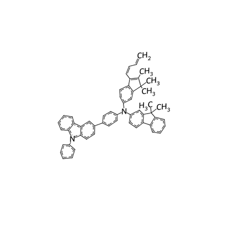 C=C/C=C\C1=C(C)C(C)(C)c2cc(N(c3ccc(-c4ccc5c(c4)c4ccccc4n5-c4ccccc4)cc3)c3ccc4c(c3)C(C)(C)c3ccccc3-4)ccc21